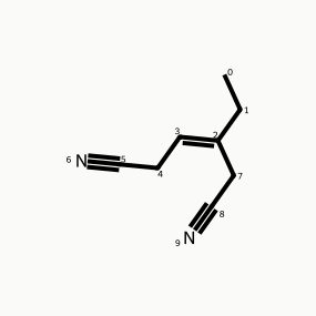 CCC(=CCC#N)CC#N